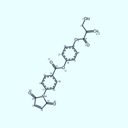 C=C(CO)C(=O)Oc1ccc(OC(=O)c2ccc(N3C(=O)C=CC3=O)cc2)cc1